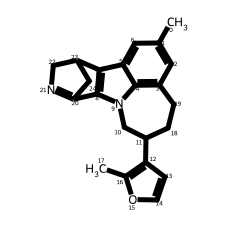 Cc1cc2c3c(c1)c1c(n3CC(c3ccoc3C)CC2)C2=NCC1C2